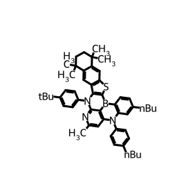 CCCCc1ccc(N2c3cc(CCCC)ccc3B3c4sc5cc6c(cc5c4N(c4ccc(C(C)(C)C)cc4)c4nc(C)cc2c43)C(C)(C)CCC6(C)C)cc1